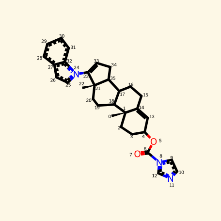 C[C@]12CCC(OC(=O)n3ccnc3)C=C1CCC1C2CC[C@]2(C)C(n3ccc4ccccc43)=CCC12